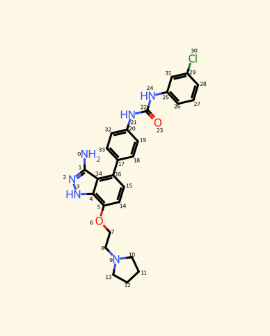 Nc1n[nH]c2c(OCCN3CCCC3)ccc(-c3ccc(NC(=O)Nc4cccc(Cl)c4)cc3)c12